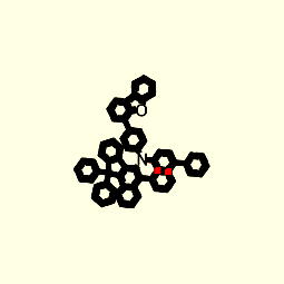 c1ccc(-c2ccc(N(c3ccc(-c4cccc5c4oc4ccccc45)cc3)c3c4c(c5ccccc5c3-c3ccccc3)C(c3ccccc3)(c3ccccc3)c3ccccc3-4)cc2)cc1